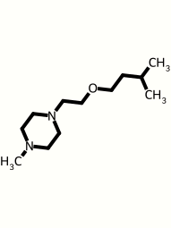 CC(C)CCOCCN1CCN(C)CC1